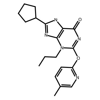 CCCn1c(Oc2ccc(C)cn2)nc(=O)c2c1N=C(C1CCCC1)[N]2